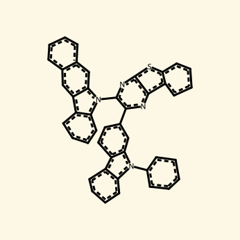 c1ccc(-n2c3ccccc3c3ccc(-c4nc5c(nc4-n4c6ccccc6c6cc7ccccc7cc64)sc4ccccc45)cc32)cc1